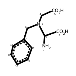 NC(C(=O)O)N(CC(=O)O)Cc1ccccc1